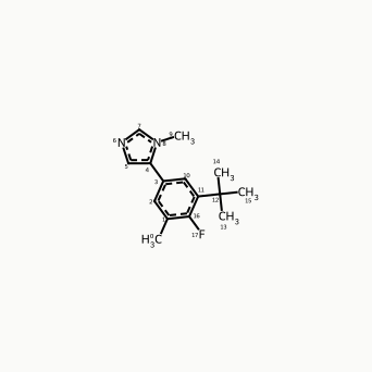 Cc1cc(-c2cncn2C)cc(C(C)(C)C)c1F